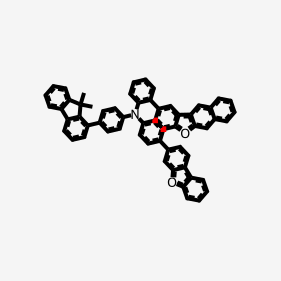 CC1(C)c2ccccc2-c2cccc(-c3ccc(N(c4ccc(-c5ccc6c(c5)oc5ccccc56)cc4)c4ccccc4-c4ccc5oc6cc7ccccc7cc6c5c4)cc3)c21